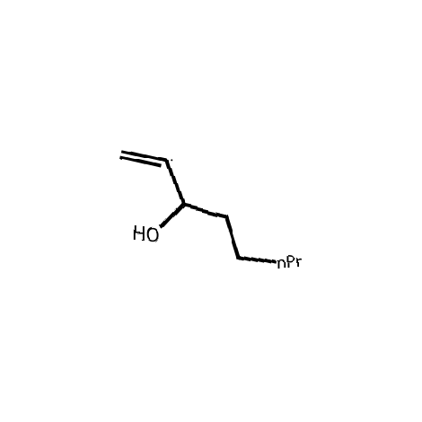 C=[C]C(O)CCCCC